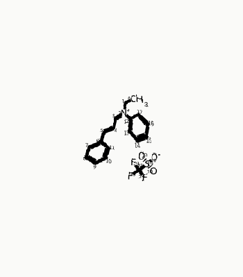 CC[N+](=CC=Cc1ccccc1)c1ccccc1.O=S(=O)([O-])C(F)(F)F